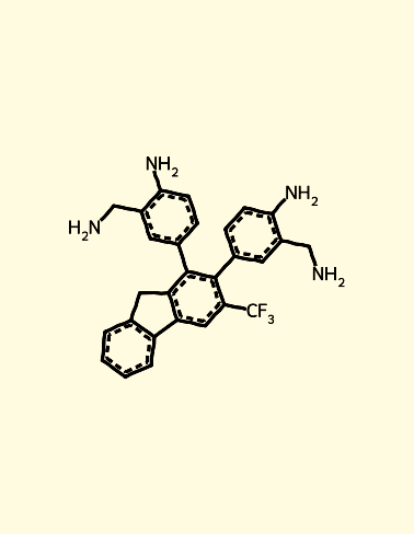 NCc1cc(-c2c(C(F)(F)F)cc3c(c2-c2ccc(N)c(CN)c2)Cc2ccccc2-3)ccc1N